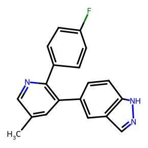 Cc1cnc(-c2ccc(F)cc2)c(-c2ccc3[nH]ncc3c2)c1